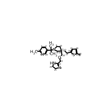 Cc1ccc(C(C)(C)N2CC[C@@](CCc3ccc(F)s3)(COCC3=NCCN3)C2)cn1